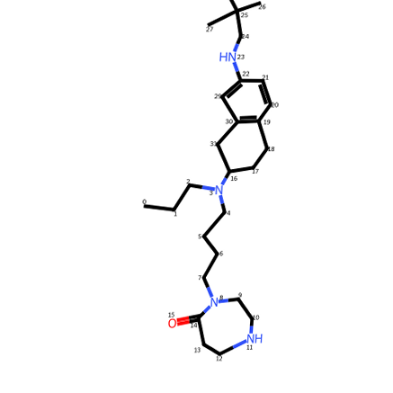 CCCN(CCCCN1CCNCCC1=O)C1CCc2ccc(NCC(C)(C)C)cc2C1